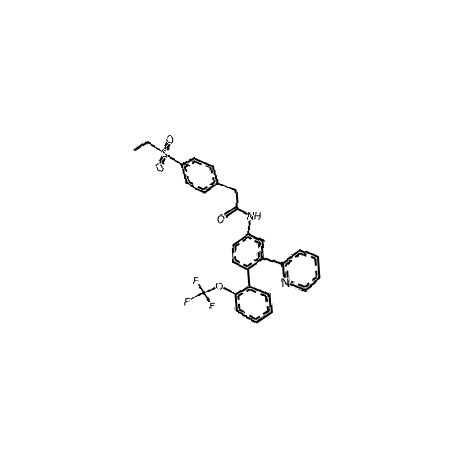 CCS(=O)(=O)c1ccc(CC(=O)Nc2ccc(-c3ccccc3OC(F)(F)F)c(-c3ccccn3)c2)cc1